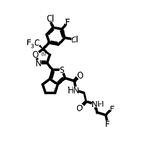 O=C(CNC(=O)c1sc(C2=NO[C@@](c3cc(Cl)c(F)c(Cl)c3)(C(F)(F)F)C2)c2c1CCC2)NCC(F)F